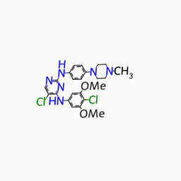 COc1cc(Nc2nc(Nc3ccc(N4CCN(C)CC4)cc3)ncc2Cl)cc(OC)c1Cl